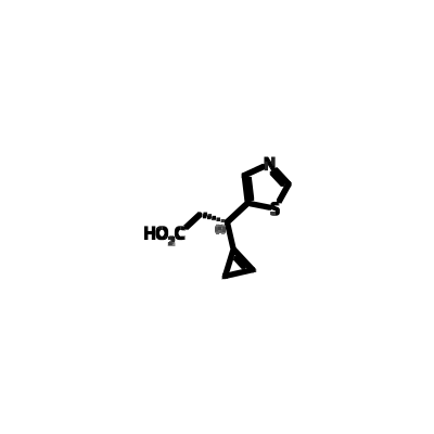 O=C(O)C[C@@H](C1=CC1)c1cncs1